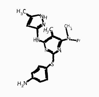 Cc1cc(Nc2nc(Sc3ccc(N)cc3)nc(N(C)C(C)C)c2C)n[nH]1